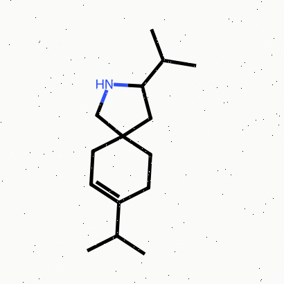 CC(C)C1=CCC2(CC1)CNC(C(C)C)C2